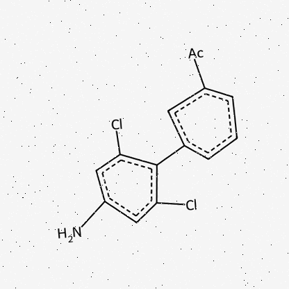 CC(=O)c1cccc(-c2c(Cl)cc(N)cc2Cl)c1